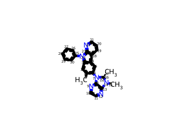 Cc1cc2c(cc1N1c3nccnc3N(C)[C@@H]1C)c1cccnc1n2-c1ccccc1